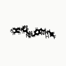 FC12CC(CNCc3cc4ccc(Cn5cnc(-c6cncc(-n7cc8c(c7)CSC8)c6)n5)cc4[nH]3)(C1)C2